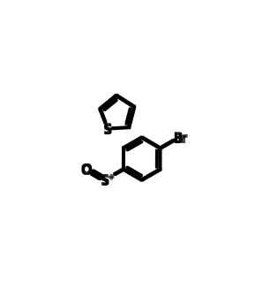 O=[S+]c1ccc(Br)cc1.c1ccsc1